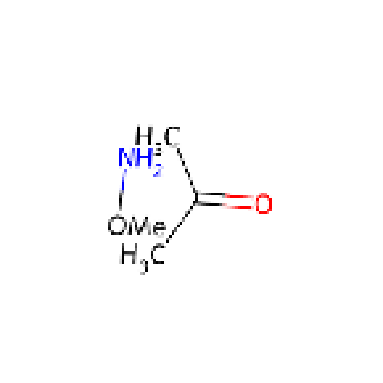 CC(C)=O.CON